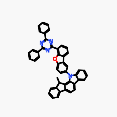 CC1c2ccccc2-c2ccc3c4ccccc4n(-c4ccc5oc6c(-c7nc(-c8ccccc8)nc(-c8ccccc8)n7)cccc6c5c4)c3c21